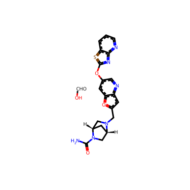 NC(=O)N1C[C@@H]2C[C@H]1CN2Cc1cc2ncc(Oc3nc4ncccc4s3)cc2o1.O=CO